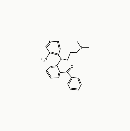 CN(C)CCCN(c1ccccc1C(=O)c1ccccc1)c1ccncc1[N+](=O)[O-]